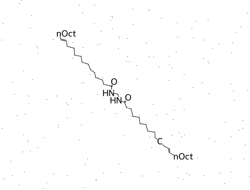 CCCCCCCCC=CCCCCCCCCCCCC(=O)NCNC(=O)CCCCCCCCCCCC=CCCCCCCCC